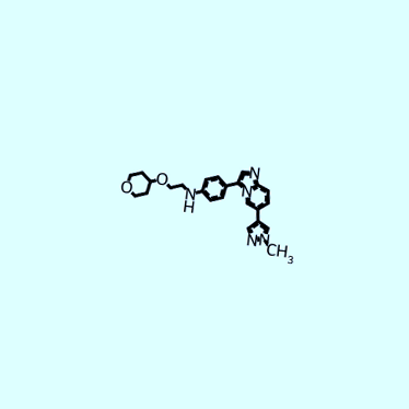 Cn1cc(-c2ccc3ncc(-c4ccc(NCCOC5CCOCC5)cc4)n3c2)cn1